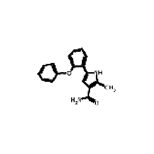 Cc1[nH]c(-c2ccccc2Oc2ccccc2)cc1C(N)=O